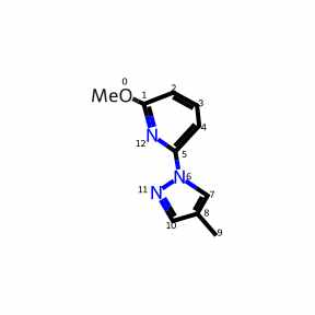 COc1cccc(-n2cc(C)cn2)n1